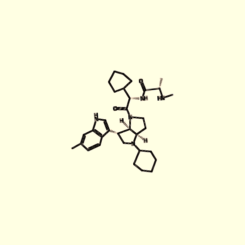 CN[C@@H](C)C(=O)N[C@H](C(=O)N1CC[C@@H]2[C@H]1[C@@H](c1c[nH]c3cc(C)ccc13)CN2C1CCCCC1)C1CCCCC1